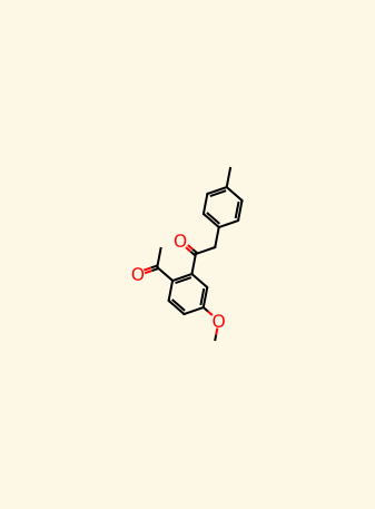 COc1ccc(C(C)=O)c(C(=O)Cc2ccc(C)cc2)c1